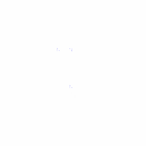 c1ccc(-c2ccc(-c3cc(-c4ccccc4)nc(-c4ccc(-c5nc6ccc(-c7ccccc7)cc6c6c5ccc5ccccc56)cc4)n3)cc2)cc1